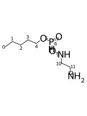 CCCCCO[PH](=O)ONCCN